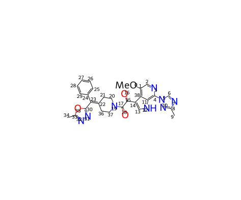 COc1cnc(-n2cnc(C)n2)c2[nH]cc(C(=O)C(=O)N3CCC(=C(c4ccccc4)c4nnc(C)o4)CC3)c12